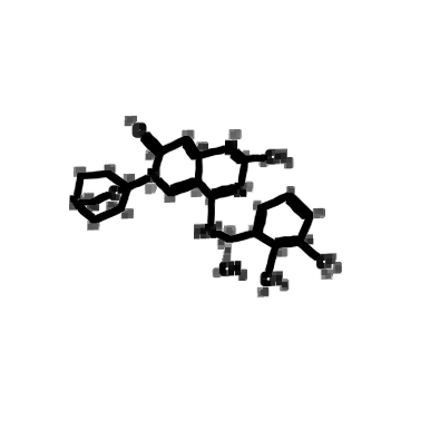 Cc1nc(N[C@@H](C)c2cccc(C(F)(F)F)c2C)c2cn(C34CCN(CC3)CC4)c(=O)cc2n1